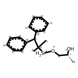 C[C@@H](O)CO[SiH2]C(C)(C)C(c1ccccc1)c1ccccc1